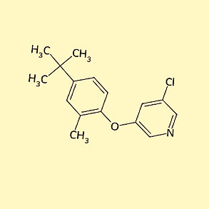 Cc1cc(C(C)(C)C)ccc1Oc1cncc(Cl)c1